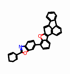 C1=CC(c2nc3ccc(-c4cccc5c4oc4cc6c7c(cccc7c45)-c4ccccc4-6)cc3o2)=CCC1